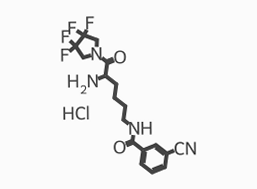 Cl.N#Cc1cccc(C(=O)NCCCCC(N)C(=O)N2CC(F)(F)C(F)(F)C2)c1